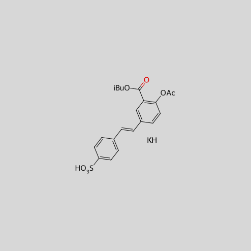 CC(=O)Oc1ccc(C=Cc2ccc(S(=O)(=O)O)cc2)cc1C(=O)OCC(C)C.[KH]